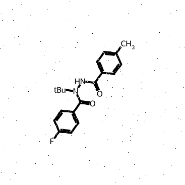 Cc1ccc(C(=O)NN(C(=O)c2ccc(F)cc2)C(C)(C)C)cc1